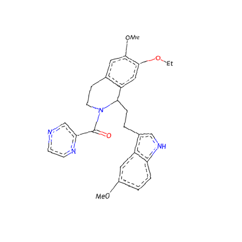 CCOc1cc2c(cc1OC)CCN(C(=O)c1cnccn1)C2CCc1c[nH]c2ccc(OC)cc12